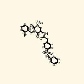 CCCCn1cc(NC(=O)Cc2ccc(S(=O)(=O)Nc3ccccn3)cc2)c(=O)n(Cc2ccccc2F)c1=O